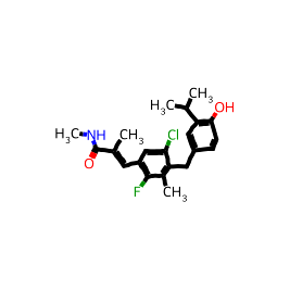 CNC(=O)/C(C)=C/c1cc(Cl)c(Cc2ccc(O)c(C(C)C)c2)c(C)c1F